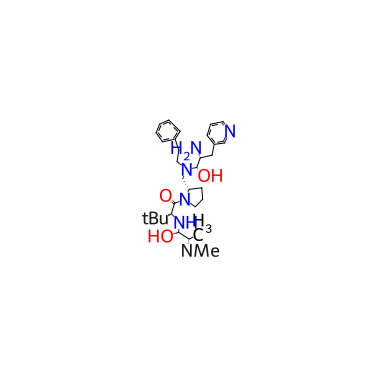 CN[C@@H](C)C(O)N[C@H](C(=O)N1CCC[C@H]1CN(CCc1ccccc1)C(O)[C@H](N)Cc1cccnc1)C(C)(C)C